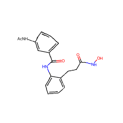 CC(=O)Nc1cccc(C(=O)Nc2ccccc2CCC(=O)NO)c1